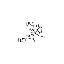 C=CC(=O)N1CCN(c2nc(=O)n(-c3c(CC)cccc3CC)c3nc(N4CCCC4CN=C)c(Cl)cc23)[C@@H](C)C1